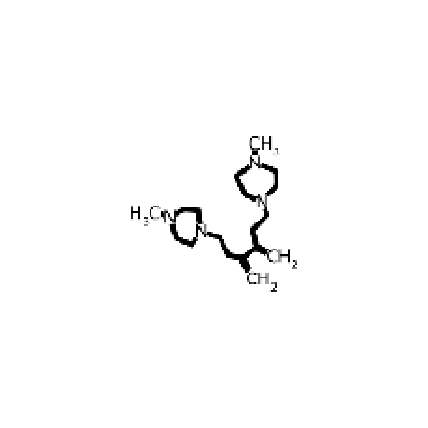 C=C(CCN1CCN(C)CC1)C(=C)CCN1CCN(C)CC1